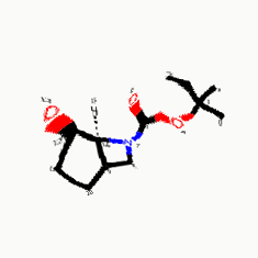 CC(C)(C)OC(=O)N1CC2CCC(=O)[C@H]21